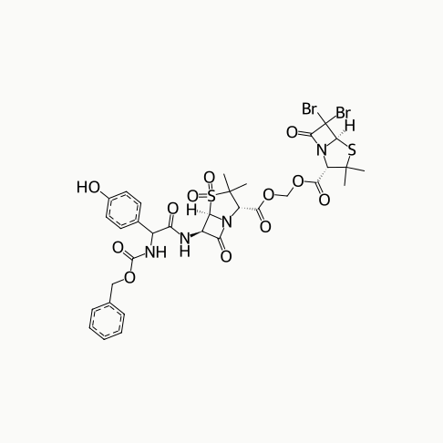 CC1(C)S[C@H]2N(C(=O)C2(Br)Br)[C@H]1C(=O)OCOC(=O)[C@@H]1N2C(=O)[C@@H](NC(=O)C(NC(=O)OCc3ccccc3)c3ccc(O)cc3)[C@H]2S(=O)(=O)C1(C)C